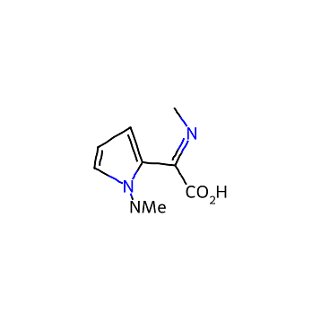 C/N=C(/C(=O)O)c1cccn1NC